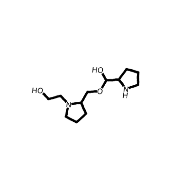 OCCN1CCCC1COC(O)C1CCCN1